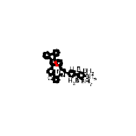 Bc1c(B)c(B)c(-c2ccc(-c3cc(-c4ccccc4)nc(-c4cccc5oc6ccc(-c7ccc8c9ccccc9c9ccccc9c8c7)cc6c45)n3)cc2)c(B)c1B